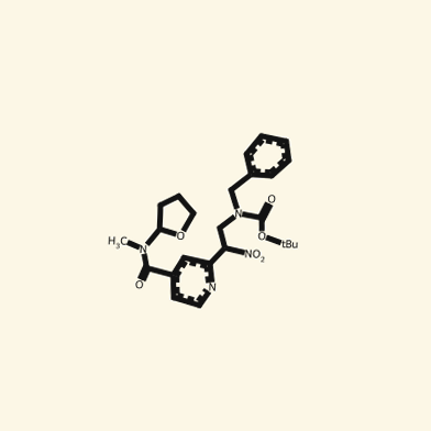 CN(C(=O)c1ccnc(C(CN(Cc2ccccc2)C(=O)OC(C)(C)C)[N+](=O)[O-])c1)C1CCCO1